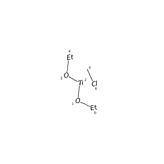 CC[O][Ti][O]CC.CCl